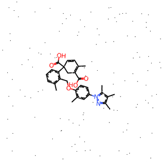 CC1=C(C(=O)O)CC(C(=O)O)(c2cccc(C)c2COc2ccc(-n3nc(C)c(C)c3C)cc2C)C=C1